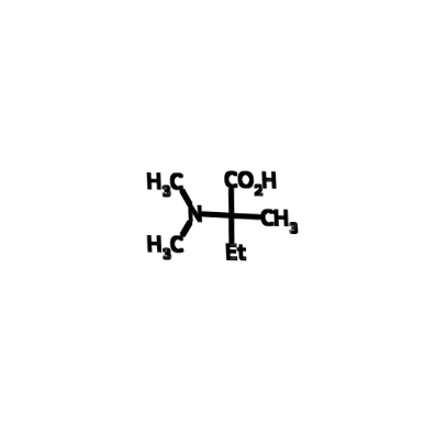 CCC(C)(C(=O)O)N(C)C